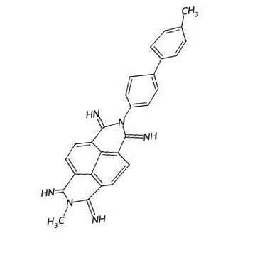 Cc1ccc(-c2ccc(N3C(=N)c4ccc5c6c(ccc(c46)C3=N)C(=N)N(C)C5=N)cc2)cc1